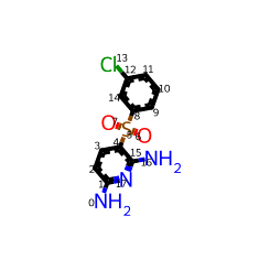 Nc1ccc(S(=O)(=O)c2cccc(Cl)c2)c(N)n1